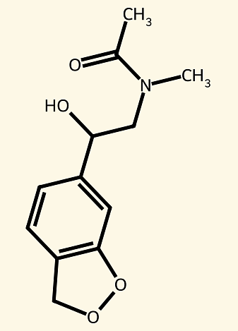 CC(=O)N(C)CC(O)c1ccc2c(c1)OOC2